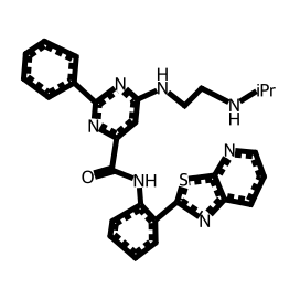 CC(C)NCCNc1cc(C(=O)Nc2ccccc2-c2nc3cccnc3s2)nc(-c2ccccc2)n1